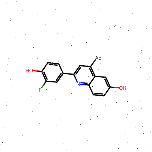 CC(=O)c1cc(-c2ccc(O)c(F)c2)nc2ccc(O)cc12